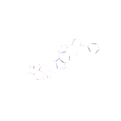 O[C@@H]1CO[C@H]2[C@@H]1OC[C@H]2Oc1nc2nc(NC3CCN(c4ccccc4)C3)c(Cl)cc2[nH]1